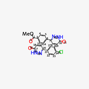 COC(=O)c1ccc(-c2ccc(=O)[nH]n2)cc1.O=c1ccc(-c2ccc(Cl)cc2)n[nH]1